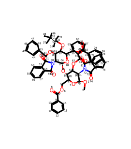 CO[C@H]1OC(COC(=O)c2ccccc2)[C@H](O[C@@H]2OC(COC(=O)c3ccccc3)C(O[Si](C)(C)C(C)(C)C)[C@H](OC(=O)c3ccccc3)C2N2C(=O)c3ccccc3C2=O)C(OC(=O)c2ccccc2)[C@H]1N1C(=O)c2ccccc2C1=O